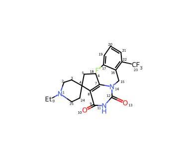 CCN1CCC2(CCc3c2c(=O)[nH]c(=O)n3Cc2c(F)cccc2C(F)(F)F)CC1